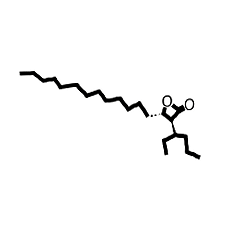 CCCCCCCCCCCCC[C@@H]1OC(=O)[C@H]1C(CC)CCC